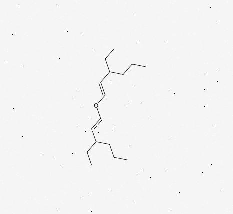 CCCC(/C=C/O/C=C/C(CC)CCC)CC